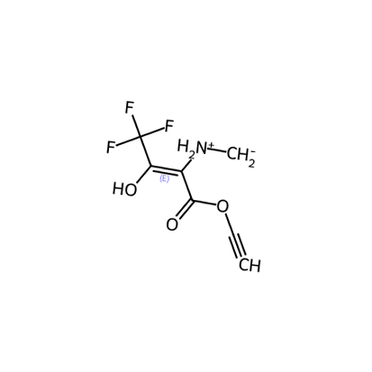 C#COC(=O)/C([NH2+][CH2-])=C(\O)C(F)(F)F